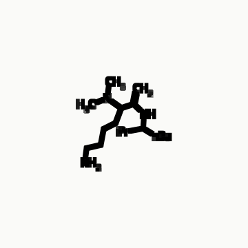 C=C(NC(CCCC)C(C)C)C(CCCCN)N(C)C